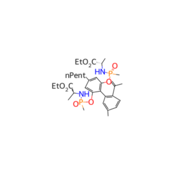 C=C(C)c1ccc(C)cc1-c1c(OP(C)(=O)N[C@@H](C)C(=O)OCC)cc(CCCCC)cc1OP(C)(=O)N[C@@H](C)C(=O)OCC